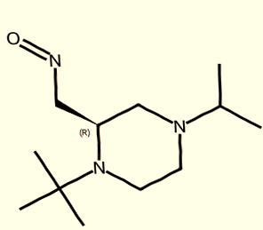 CC(C)N1CCN(C(C)(C)C)[C@@H](CN=O)C1